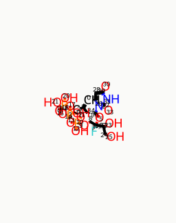 C=C(C)C[C@@H](O[C@](F)(COP(=O)(O)OP(=O)(O)OP(=O)(O)O)[C@@H](O)CO)n1ccc(=O)[nH]c1=O